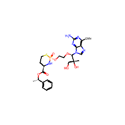 COc1nc(N)nc2c1ncn2[C@H](OCCO[P@]1(=O)N[C@@H](C(=O)O[C@@H](C)c2ccccc2)CCS1)[C@](C)(O)CO